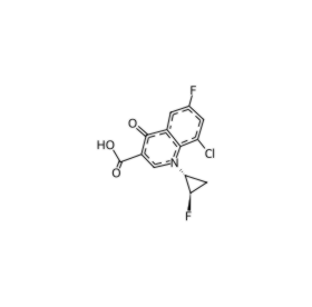 O=C(O)c1cn([C@@H]2C[C@H]2F)c2c(Cl)cc(F)cc2c1=O